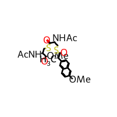 COC(=O)C(CSC(=O)C(CSC(=O)[C@@H](C)c1ccc2cc(OC)ccc2c1)NC(C)=O)NC(C)=O